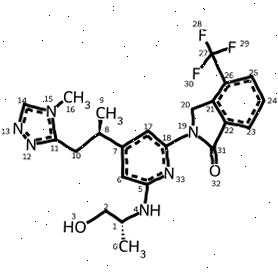 C[C@H](CO)Nc1cc([C@H](C)Cc2nncn2C)cc(N2Cc3c(cccc3C(F)(F)F)C2=O)n1